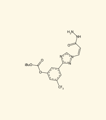 CC(C)COC(=O)Oc1cc(-c2ncn(/C=C\C(=O)NN)n2)cc(C(F)(F)F)c1